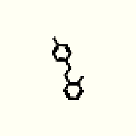 Cc1ccc(CCc2[c]cccc2C)cc1